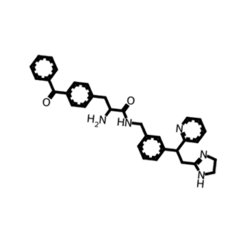 NC(Cc1ccc(C(=O)c2ccccc2)cc1)C(=O)NCc1cccc(C(CC2=NCCN2)c2ccccn2)c1